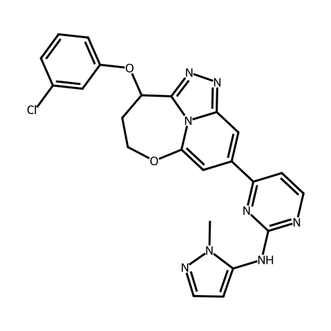 Cn1nccc1Nc1nccc(-c2cc3n4c(nnc4c2)C(Oc2cccc(Cl)c2)CCO3)n1